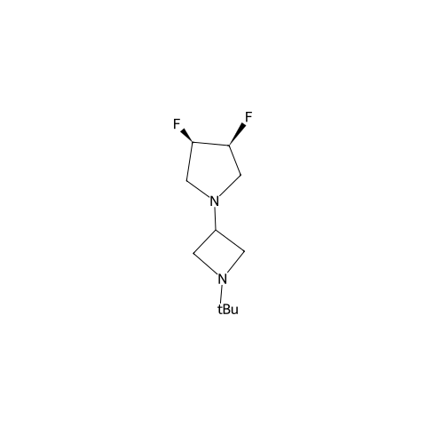 CC(C)(C)N1CC(N2C[C@@H](F)[C@@H](F)C2)C1